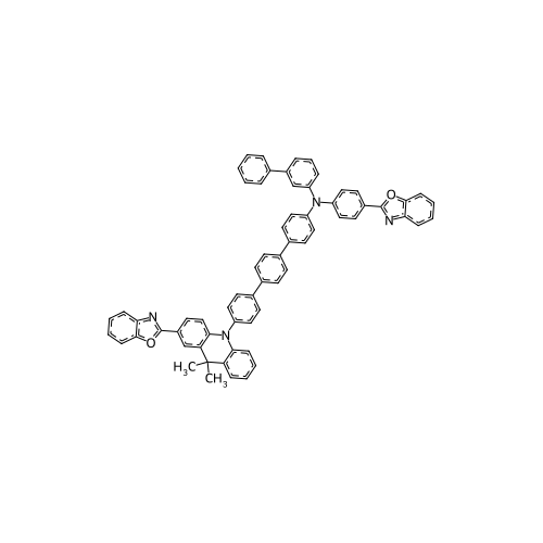 CC1(C)c2ccccc2N(c2ccc(-c3ccc(-c4ccc(N(c5ccc(-c6nc7ccccc7o6)cc5)c5cccc(-c6ccccc6)c5)cc4)cc3)cc2)c2ccc(-c3nc4ccccc4o3)cc21